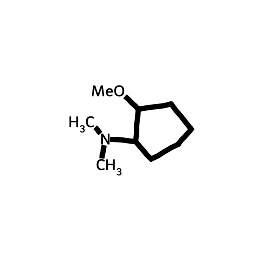 COC1CCCCC1N(C)C